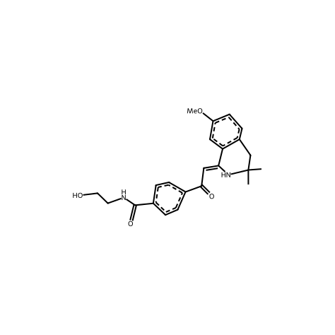 COc1ccc2c(c1)C(=CC(=O)c1ccc(C(=O)NCCO)cc1)NC(C)(C)C2